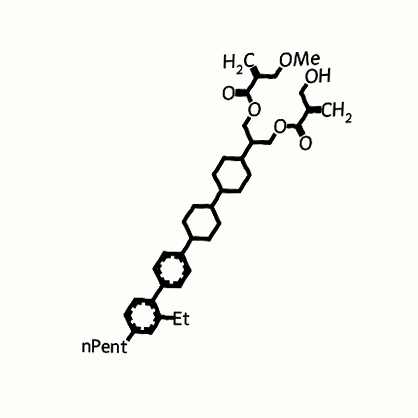 C=C(CO)C(=O)OCC(COC(=O)C(=C)COC)C1CCC(C2CCC(c3ccc(-c4ccc(CCCCC)cc4CC)cc3)CC2)CC1